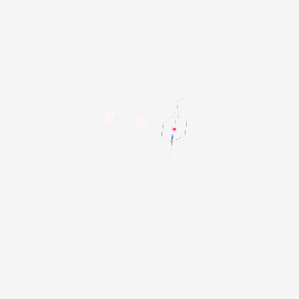 FC12CC[N+](CCl)(CC1)[NH2+]C2.F[B-](F)(F)F.F[B-](F)(F)F